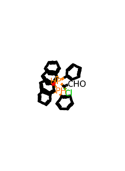 O=CC(Cl)([PH](c1ccccc1)(c1ccccc1)c1ccccc1)[PH](c1ccccc1)(c1ccccc1)c1ccccc1